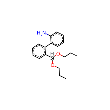 CCCO[SiH](OCCC)c1ccccc1-c1ccccc1N